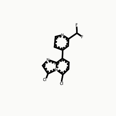 FC(F)c1cc(-c2ccc(Cl)n3c(Cl)cnc23)ccn1